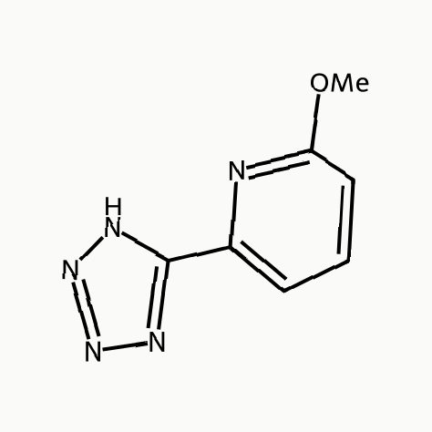 COc1cccc(-c2nnn[nH]2)n1